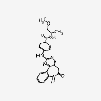 COCC(C)NC(=O)C1C=CC(Nc2ncc3c(n2)-c2ccccc2NC(=O)C3)=CC1